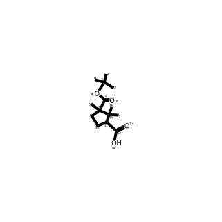 CC(C)(C)OC(=O)C1(C)CCC(C(=O)O)C1(C)C